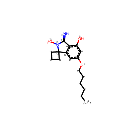 CCCCCCOc1cc(O)c2c(c1)C1(CCC1)N(O)C2=N